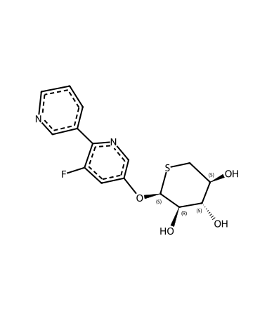 O[C@@H]1[C@@H](O)[C@@H](Oc2cnc(-c3cccnc3)c(F)c2)SC[C@H]1O